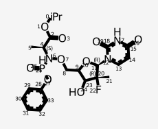 CC(C)OC(=O)[C@H](C)N(OCC1O[C@@H](n2ccc(=O)[nH]c2=O)[C@](C)(F)C1O)[PH](=O)Oc1ccccc1